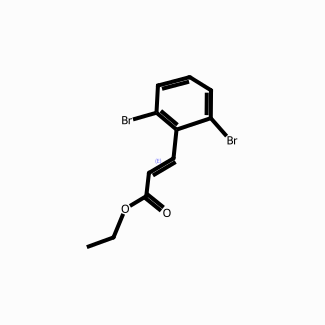 CCOC(=O)/C=C/c1c(Br)cccc1Br